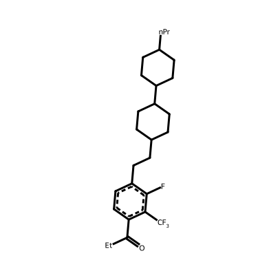 CCCC1CCC(C2CCC(CCc3ccc(C(=O)CC)c(C(F)(F)F)c3F)CC2)CC1